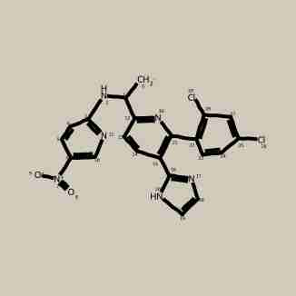 [CH2]C(Nc1ccc([N+](=O)[O-])cn1)c1ccc(-c2ncc[nH]2)c(-c2ccc(Cl)cc2Cl)n1